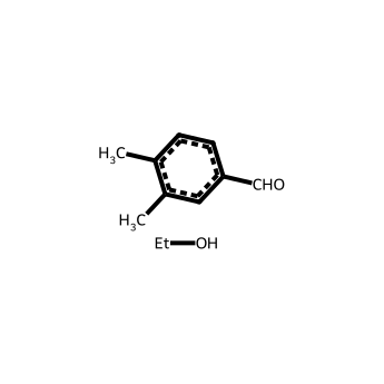 CCO.Cc1ccc(C=O)cc1C